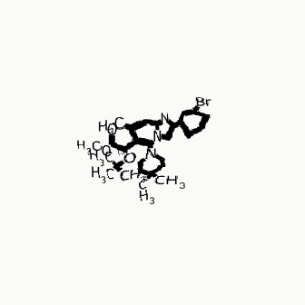 COC(=O)[C@@H](OC(C)(C)C)c1c(C)cc2nc(-c3cccc(Br)c3)cn2c1N1CCC(C)(C)CC1